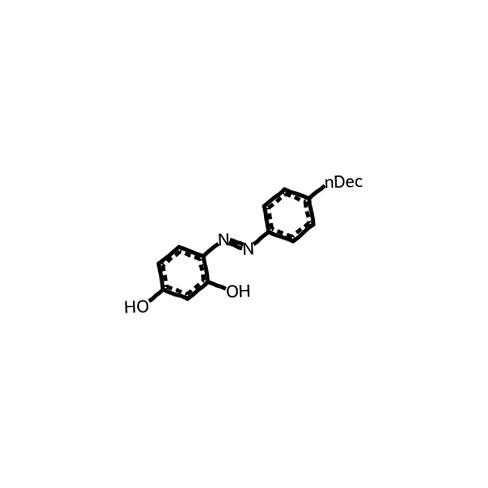 CCCCCCCCCCc1ccc(/N=N/c2ccc(O)cc2O)cc1